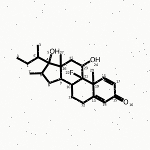 CCC(C)C1(O)C(C)CC2C3CCC4=CC(=O)C=CC4(C)C3(F)C(O)CC21C